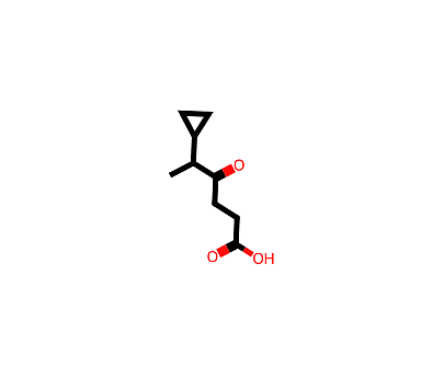 CC(C(=O)CCC(=O)O)C1CC1